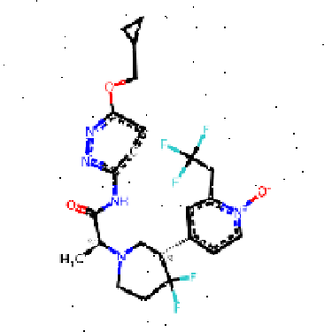 C[C@@H](C(=O)Nc1ccc(OCC2CC2)nn1)N1CCC(F)(F)[C@@H](c2cc[n+]([O-])c(CC(F)(F)F)c2)C1